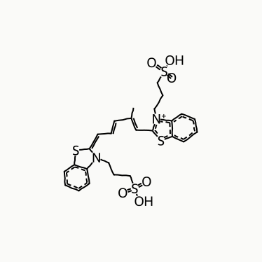 CC(C=CC=C1Sc2ccccc2N1CCCS(=O)(=O)O)=Cc1sc2ccccc2[n+]1CCCS(=O)(=O)O